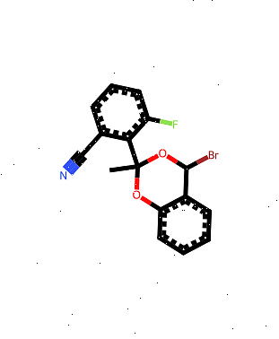 CC1(c2c(F)cccc2C#N)Oc2ccccc2C(Br)O1